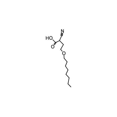 CCCCCCCCOCCC(C#N)C(=O)O